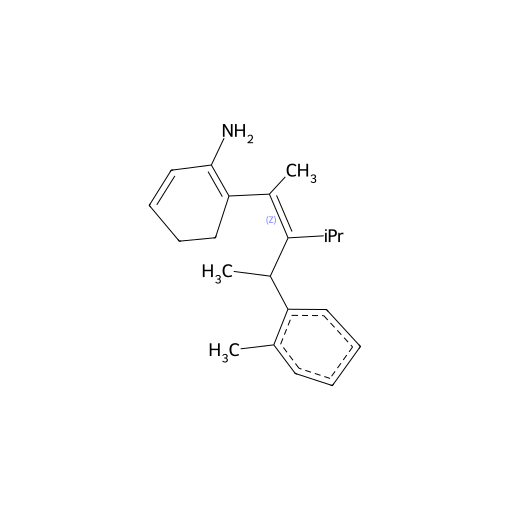 C/C(C1=C(N)C=CCC1)=C(\C(C)C)C(C)c1ccccc1C